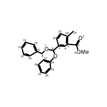 COC(=O)c1cc(C(OCc2ccccc2)Oc2ccccc2)ccc1C